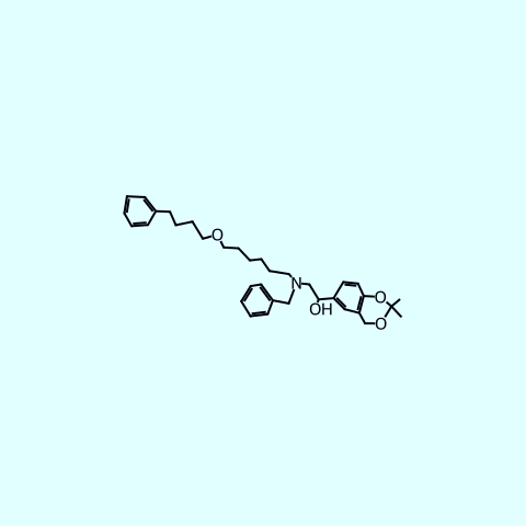 CC1(C)OCc2cc(C(O)CN(CCCCCCOCCCCc3ccccc3)Cc3ccccc3)ccc2O1